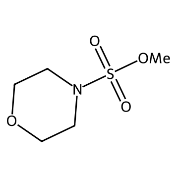 COS(=O)(=O)N1CCOCC1